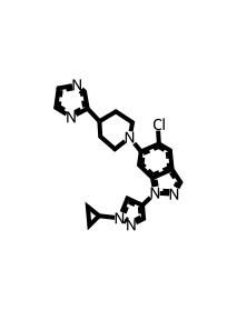 Clc1cc2cnn(-c3cnn(C4CC4)c3)c2cc1N1CCC(c2cnccn2)CC1